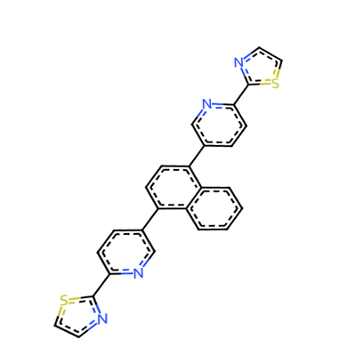 c1ccc2c(-c3ccc(-c4nccs4)nc3)ccc(-c3ccc(-c4nccs4)nc3)c2c1